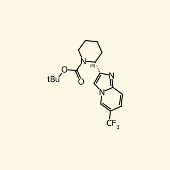 CC(C)(C)OC(=O)N1CCCC[C@@H]1c1cn2cc(C(F)(F)F)ccc2n1